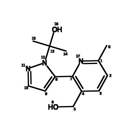 Cc1ccc(CO)c(-c2ccnn2C(C)(C)O)n1